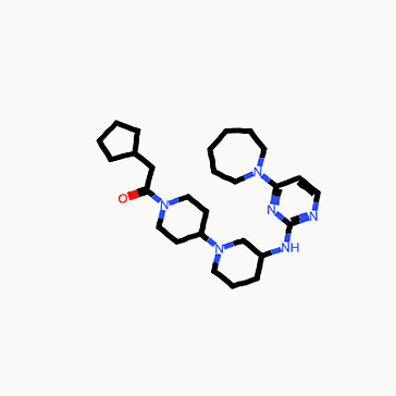 O=C(CC1CCCC1)N1CCC(N2CCCC(Nc3nccc(N4CCCCCC4)n3)C2)CC1